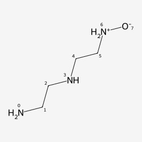 NCCNCC[NH2+][O-]